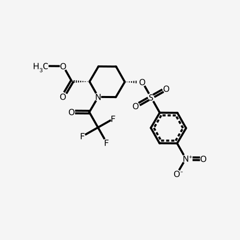 COC(=O)[C@@H]1CC[C@H](OS(=O)(=O)c2ccc([N+](=O)[O-])cc2)CN1C(=O)C(F)(F)F